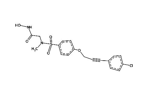 CN(CC(=O)NO)S(=O)(=O)c1ccc(OCC#Cc2ccc(Cl)cc2)cc1